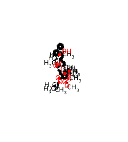 COCOc1c(OC)c(OC)cc(/C=C/C[C@@H]2OC(C)(C)O[C@@H]2C(/C=C\C[C@H](C)CC(C)(C)[Si](O)(c2ccccc2)c2ccccc2)O[Si](C)(C)C(C)(C)C)c1C(=O)OCC[Si](C)(C)C